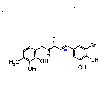 Cc1ccc(CNC(=S)/C=C/c2cc(O)c(O)c(Br)c2)c(O)c1O